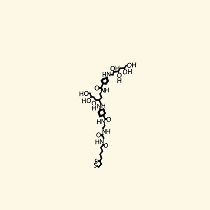 O=C(CCCCC1CCSS1)NCC(=O)NCCNC(=O)c1ccc(NCC(CCNC(=O)c2ccc(NCC(O)C(O)CC(O)CO)cc2)C(O)CC(O)CO)cc1